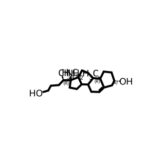 C[C@H](CCCO)[C@@]1(N)CCC2C3CC=C4C[C@@H](O)CC[C@]4(C)C3CC[C@@]21C